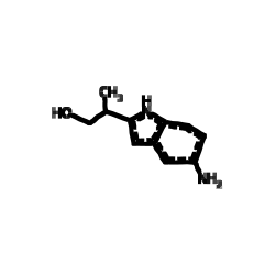 CC(CO)c1cc2cc(N)ccc2[nH]1